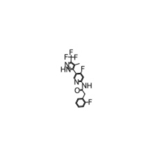 Cc1c(C(F)(F)F)n[nH]c1-c1cnc(NC(=O)Cc2ccccc2F)cc1F